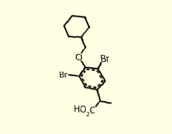 CC(C(=O)O)c1cc(Br)c(OCC2CCCCC2)c(Br)c1